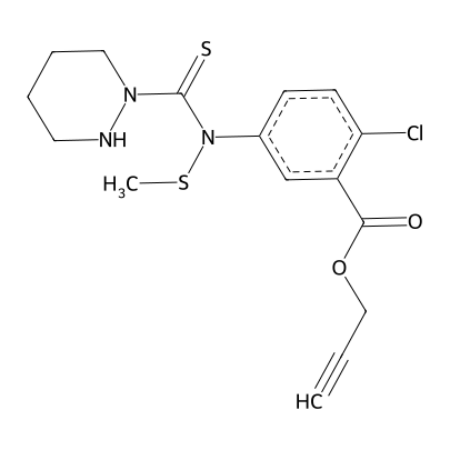 C#CCOC(=O)c1cc(N(SC)C(=S)N2CCCCN2)ccc1Cl